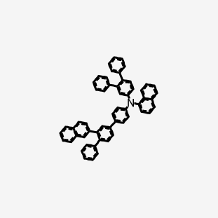 c1ccc(-c2ccc(-c3ccc(N(c4ccc(-c5ccccc5)c(-c5ccccc5)c4)c4cccc5ccccc45)cc3)cc2-c2ccc3ccccc3c2)cc1